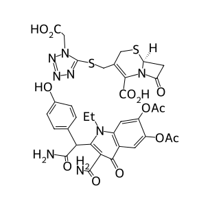 CCn1c(C(C(N)=O)c2ccc(O)cc2)c(C(N)=O)c(=O)c2cc(OC(C)=O)c(OC(C)=O)cc21.O=C(O)Cn1nnnc1SCC1=C(C(=O)O)N2C(=O)C[C@@H]2SC1